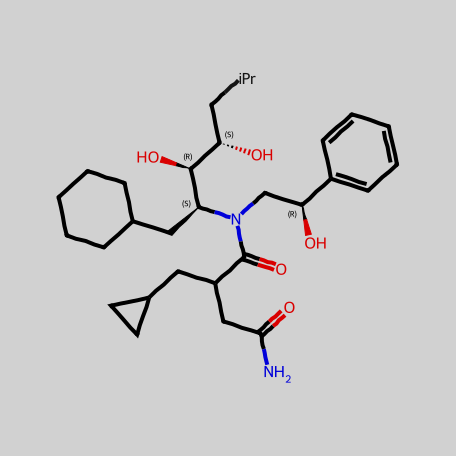 CC(C)C[C@H](O)[C@H](O)[C@H](CC1CCCCC1)N(C[C@H](O)c1ccccc1)C(=O)C(CC(N)=O)CC1CC1